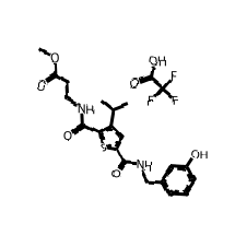 COC(=O)CCNC(=O)c1sc(C(=O)NCc2cccc(O)c2)cc1C(C)C.O=C(O)C(F)(F)F